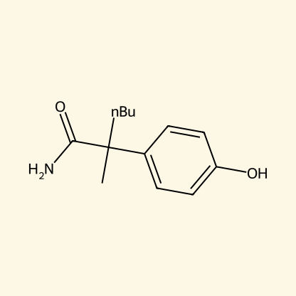 CCCCC(C)(C(N)=O)c1ccc(O)cc1